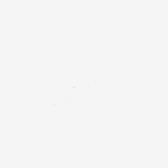 O=C(NC1CN2CCC1CC2)c1ccc(C(F)(F)F)cc1F